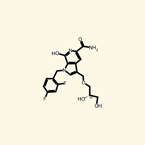 NC(=O)c1cc2c(COC[C@@H](O)CO)cn(Cc3ccc(F)cc3F)c2c(O)n1